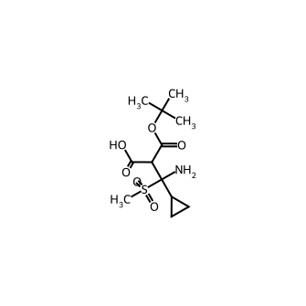 CC(C)(C)OC(=O)C(C(=O)O)C(N)(C1CC1)S(C)(=O)=O